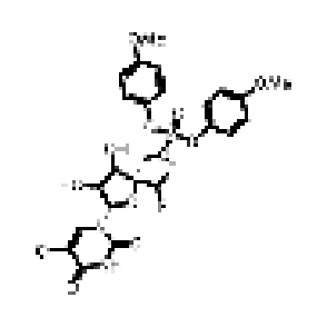 COc1ccc(OP(=O)(OC[C@]2(C(F)F)O[C@H](n3cc(Cl)c(=O)[nH]c3=O)C(O)C2O)Oc2ccc(OC)cc2)cc1